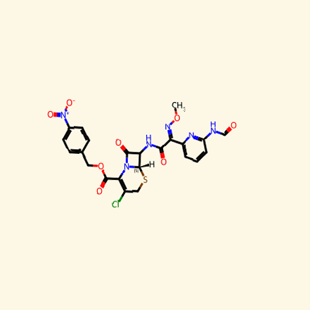 CON=C(C(=O)NC1C(=O)N2C(C(=O)OCc3ccc([N+](=O)[O-])cc3)=C(Cl)CS[C@@H]12)c1cccc(NC=O)n1